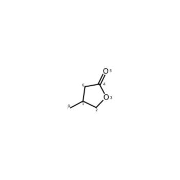 [CH2]C1COC(=O)C1